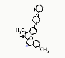 Cc1cccc(/C=C\C(=O)N[C@@H](C)c2cccc(N3CCN(c4ccccn4)CC3)c2)c1